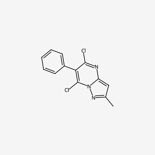 Cc1cc2nc(Cl)c(-c3ccccc3)c(Cl)n2n1